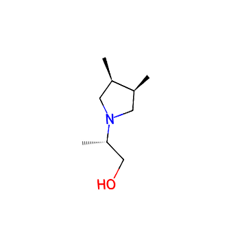 C[C@@H]1CN([C@@H](C)CO)C[C@@H]1C